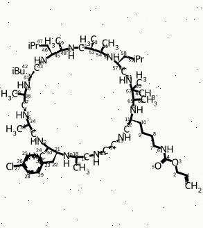 C=CCOC(=O)NCCCC[C@H]1CNCCNCC(C)N[C@@H](Cc2ccc(Cl)cc2)C(C)NCC(C)NCC(C)N[C@@H]([C@@H](C)CC)CN[C@@H](CC(C)C)C(C)NC[C@@H](C)C(C)N[C@@H](CC(C)C)CNC(C)(C)C(C)N1